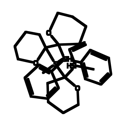 C=C[SiH](C)C1([Si](C)(C)C2(C3([SiH](c4ccccc4)c4ccccc4)CCCCO3)CCCCO2)CCCCO1